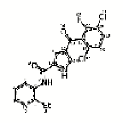 CCc1ncccc1NC(=O)c1cc(C(=O)c2c(Cl)ccc(Cl)c2F)c[nH]1